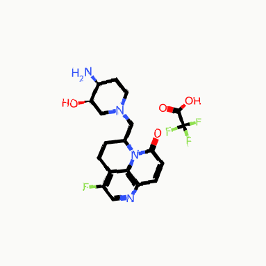 N[C@H]1CCN(CC2CCc3c(F)cnc4ccc(=O)n2c34)C[C@H]1O.O=C(O)C(F)(F)F